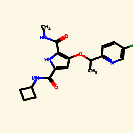 CNC(=O)c1[nH]c(C(=O)NC2CCC2)cc1OC(C)c1ccc(Cl)cn1